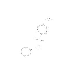 COc1ccc(S(=O)(=O)[C@@H]2C[C@H]2c2ccccc2)cc1